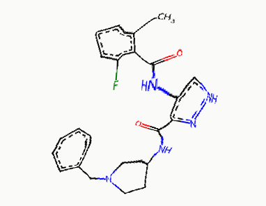 Cc1cccc(F)c1C(=O)Nc1c[nH]nc1C(=O)NC1CCN(Cc2ccccc2)C1